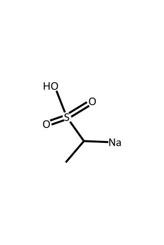 C[CH]([Na])S(=O)(=O)O